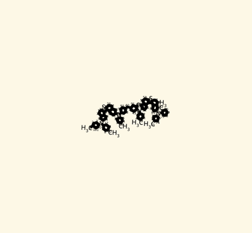 Cc1ccc(N(c2ccc(C)cc2)c2ccc3c(ccc4sc5ccc6cc(N(c7ccc(C)cc7)c7ccc(Cc8ccc(N(c9ccc(C)cc9)c9ccc%10c(ccc%11sc%12ccc%13cc(N(c%14ccc(C)cc%14)c%14ccccc%14C)ccc%13c%12c%11%10)c9)c(C)c8)cc7)ccc6c5c43)c2)cc1